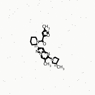 Cc1cc(C(=O)N2CCCC[C@H]2c2cc3nc(N4CC[C@H](C)C4)c(C)cn3n2)on1